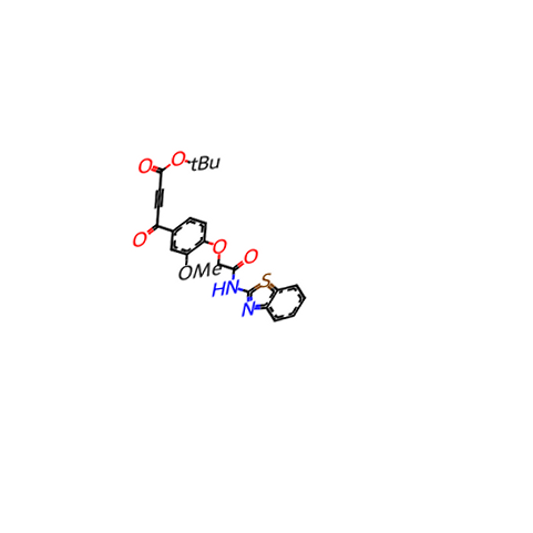 COc1cc(C(=O)C#CC(=O)OC(C)(C)C)ccc1OCC(=O)Nc1nc2ccccc2s1